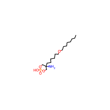 CCCCCCCCOCCCCCCC1(N)COP(=O)(O)OC1